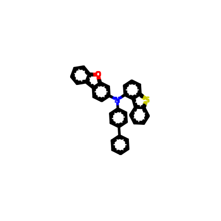 c1ccc(-c2ccc(N(c3ccc4c(c3)oc3ccccc34)c3cccc4sc5ccccc5c34)cc2)cc1